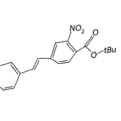 CC(C)(C)OC(=O)c1ccc(/C=C/c2ccccc2)cc1[N+](=O)[O-]